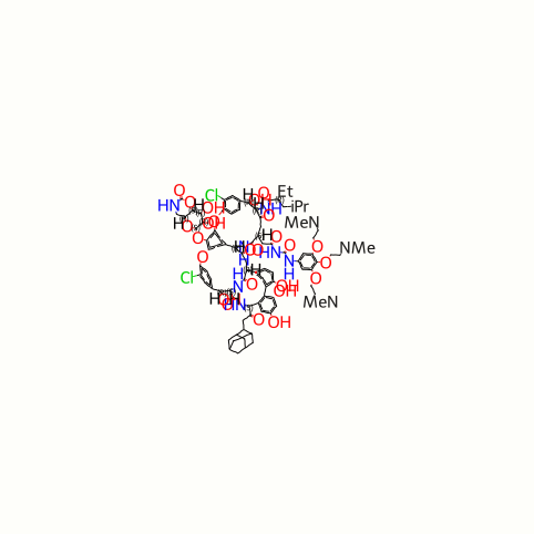 CC[C@H](CC(C)C)C(=O)N[C@H]1C(=O)C[C@@H](CC(=O)NC(=O)Nc2cc(OCCNC)c(OCCNC)c(OCCNC)c2)C(=O)N[C@H]2C(=O)C[C@H]3C(=O)N[C@H](C(=O)N[C@H](C(=O)CC4C5CC6CC(C5)CC4C6)c4cc(O)cc(O)c4-c4cc3ccc4O)[C@H](O)c3ccc(c(Cl)c3)Oc3cc2cc(c3O[C@@H]2O[C@@H]3CNC(=O)O[C@H]3[C@H](O)[C@H]2O)Oc2ccc(cc2Cl)[C@H]1O